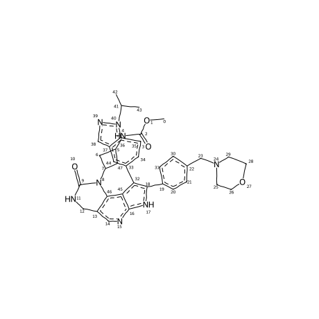 COC(=O)NC1CC(N2C(=O)NCc3cnc4[nH]c(-c5ccc(CN6CCOCC6)cc5)c(-c5ccc6c(cnn6C(C)C)c5)c4c32)C1